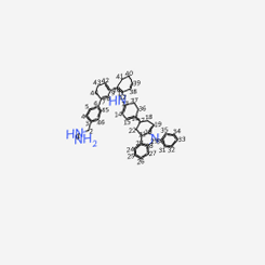 NNCc1ccc(C2=CC(C3=C(NC4=CC=C(C5CC=C6C(C5)c5ccccc5N6c5ccccc5)CC4)C=CCC3)=CCC2)cc1